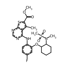 COC(=O)c1sc2ncnc(Nc3ccc(F)cc3OC3CCCCC3N(C)S(C)(=O)=O)c2c1C